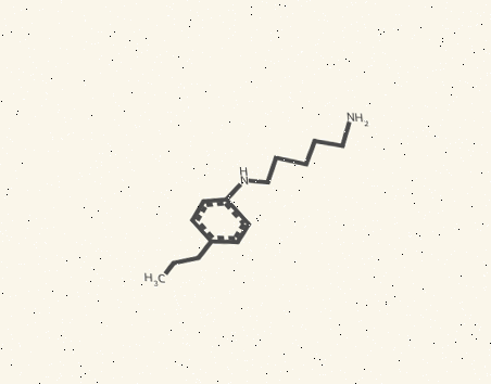 CCCc1ccc(NCCCCCN)cc1